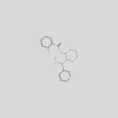 CN(C)C(c1cccnc1)C1CCCCC1NC(=O)c1ccccc1Cl